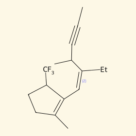 CC#CC(C)/C(=C\C1=C(C)CCC1C(F)(F)F)CC